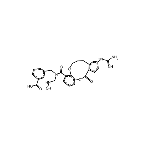 N=C(N)Nc1ccc2c(c1)CCCOc1c(cccc1C(=O)N(CNO)Cc1cccc(C(=O)O)c1)OC2=O